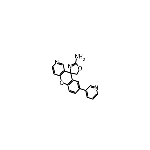 NC1=NC2(CO1)c1cnccc1Oc1ccc(-c3cccnc3)cc12